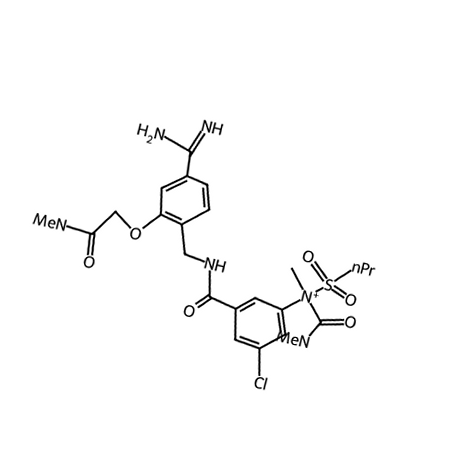 CCCS(=O)(=O)[N+](C)(C(=O)NC)c1cc(Cl)cc(C(=O)NCc2ccc(C(=N)N)cc2OCC(=O)NC)c1